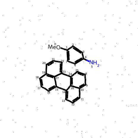 COc1ccc(N)cc1.c1cc2cccc3c4cccc5cccc(c(c1)c23)c54